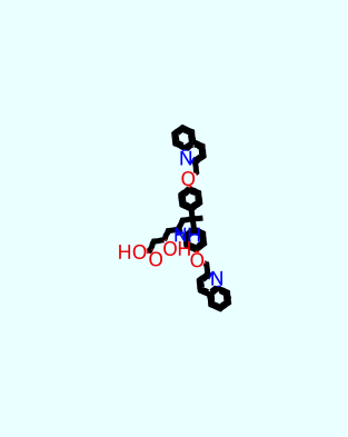 CC(CC(=N)CC(O)CC(=O)O)(c1ccc(OCc2ccc3ccccc3n2)cc1)c1ccc(OCc2ccc3ccccc3n2)cc1